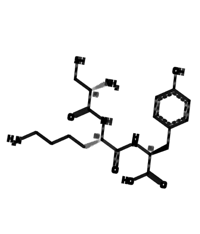 NCCCC[C@H](NC(=O)[C@@H](N)CS)C(=O)N[C@@H](Cc1ccc(O)cc1)C(=O)O